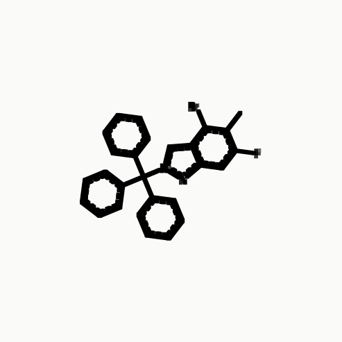 Cc1c(F)cc2nn(C(c3ccccc3)(c3ccccc3)c3ccccc3)cc2c1Br